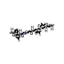 CCC(C)C(=O)N(CCNC(=O)CONC)CCN(CCNC(=O)CCO/N=C/C(=O)N[C@@H](CC(C)C)C(=O)N1CCC[C@H]1C(=O)NC)C(=O)C(C)C